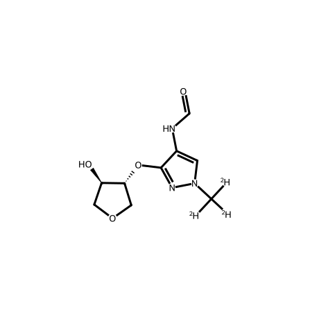 [2H]C([2H])([2H])n1cc(NC=O)c(O[C@@H]2COC[C@H]2O)n1